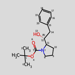 CC(C)(C)OC(=O)N1CCCC1[C@H](O)Cc1ccccc1